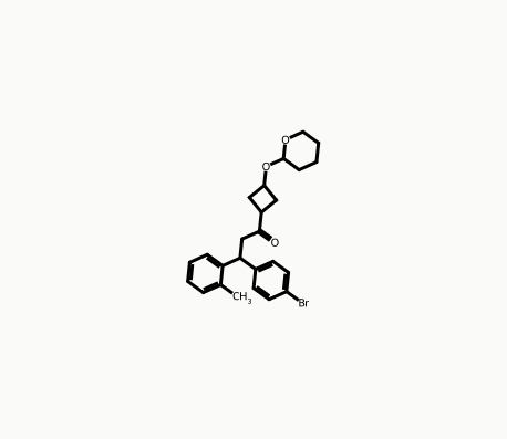 Cc1ccccc1C(CC(=O)C1CC(OC2CCCCO2)C1)c1ccc(Br)cc1